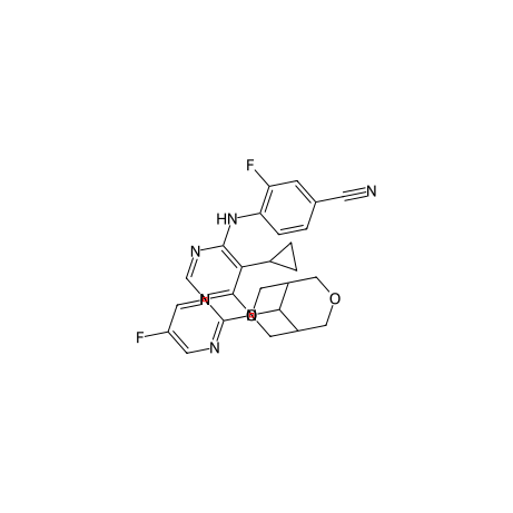 N#Cc1ccc(Nc2ncnc(OC3C4COCC3CN(c3ncc(F)cn3)C4)c2C2CC2)c(F)c1